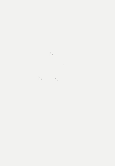 CC1=NN(c2ccc(Cl)cc2)C(C=O)N1C(F)F